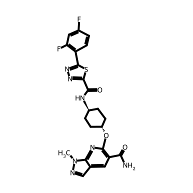 Cn1ncc2cc(C(N)=O)c(O[C@H]3CC[C@H](NC(=O)c4nnc(-c5ccc(F)cc5F)s4)CC3)nc21